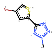 Cn1nnc(-c2cc(Br)cs2)n1